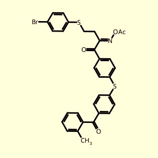 CC(=O)O/N=C(\CCSc1ccc(Br)cc1)C(=O)c1ccc(Sc2ccc(C(=O)c3ccccc3C)cc2)cc1